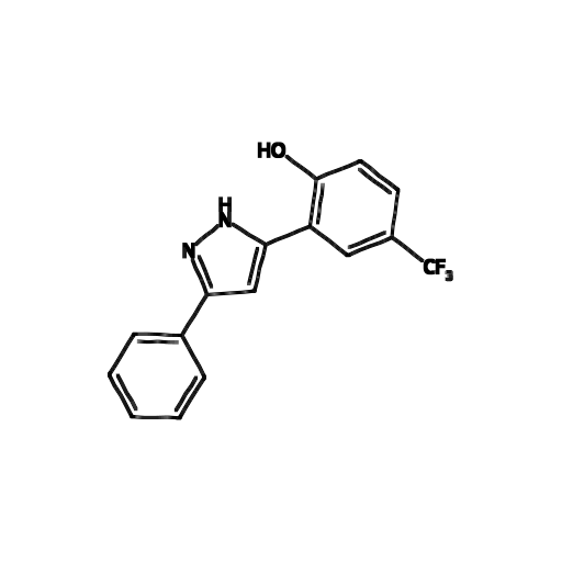 Oc1ccc(C(F)(F)F)cc1-c1cc(-c2ccccc2)n[nH]1